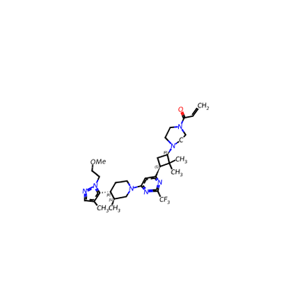 C=CC(=O)N1CCN([C@@H]2C[C@H](c3cc(N4CC[C@@H](c5c(C)cnn5CCOC)[C@H](C)C4)nc(C(F)(F)F)n3)C2(C)C)CC1